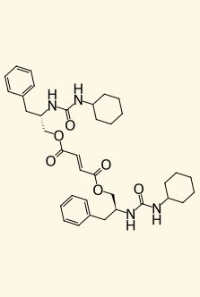 O=C(NC1CCCCC1)N[C@H](COC(=O)/C=C/C(=O)OC[C@H](Cc1ccccc1)NC(=O)NC1CCCCC1)Cc1ccccc1